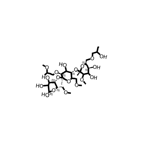 COCC1O[C@@](C)(O[C@H]2C(O)C(O)[C@H](O)O[C@H]2COC)[C@@H](OCC(C)OC)C(O)[C@@H]1O[C@]1(C)O[C@@H](COCC(C)O)[C@@H](O)C(O)C1OC